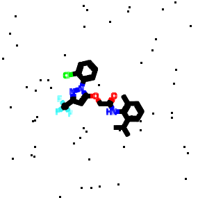 Cc1cccc(C(C)C)c1NC(=O)COc1cc(C(F)(F)F)nn1-c1ccccc1Cl